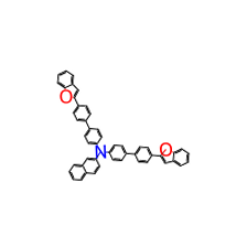 c1ccc2cc(N(c3ccc(-c4ccc(-c5cc6ccccc6o5)cc4)cc3)c3ccc(-c4ccc(-c5cc6ccccc6o5)cc4)cc3)ccc2c1